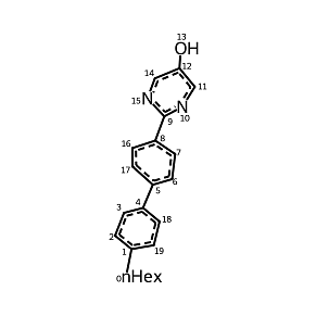 CCCCCCc1ccc(-c2ccc(-c3ncc(O)cn3)cc2)cc1